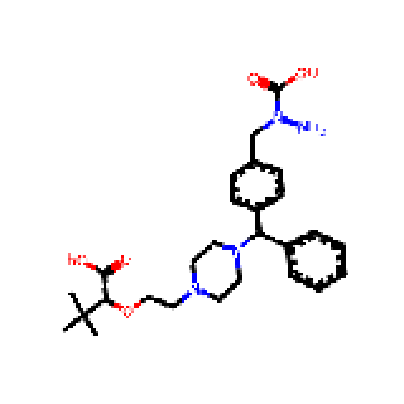 CC(C)(C)C(OCCN1CCN(C(c2ccccc2)c2ccc(CN(N)C(=O)O)cc2)CC1)C(=O)O